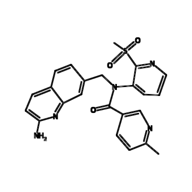 Cc1ccc(C(=O)N(Cc2ccc3ccc(N)nc3c2)c2cccnc2S(C)(=O)=O)cn1